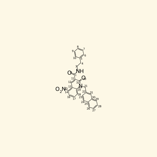 O=C(NCCc1ccccc1)c1cc2c([N+](=O)[O-])cccc2n(Cc2ccc3ccccc3c2)c1=O